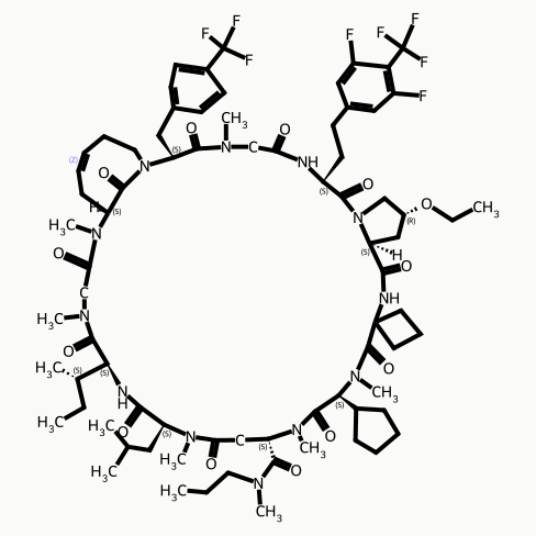 CCCN(C)C(=O)[C@@H]1CC(=O)N(C)[C@@H](CC(C)C)C(=O)N[C@@H]([C@@H](C)CC)C(=O)N(C)CC(=O)N(C)[C@H]2C/C=C\CCN(C2=O)[C@@H](Cc2ccc(C(F)(F)F)cc2)C(=O)N(C)CC(=O)N[C@@H](CCc2cc(F)c(C(F)(F)F)c(F)c2)C(=O)N2C[C@H](OCC)C[C@H]2C(=O)NC2(CCC2)C(=O)N(C)[C@@H](C2CCCC2)C(=O)N1C